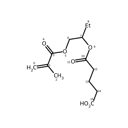 C=C(C)C(=O)OCC(CC)OC(=O)CCCC(=O)O